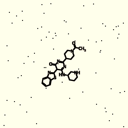 CC(=O)N1CCC(C2=NC(=O)C(c3nc4ccccc4s3)C(N[C@@H]3CCCNC3)=N2)CC1